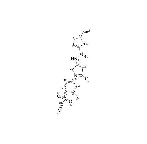 C=CC1CC=C(C(=O)N[C@@H]2CC(=O)N(c3ccc(S(=O)(=O)C#N)c(C)c3)C2)S1